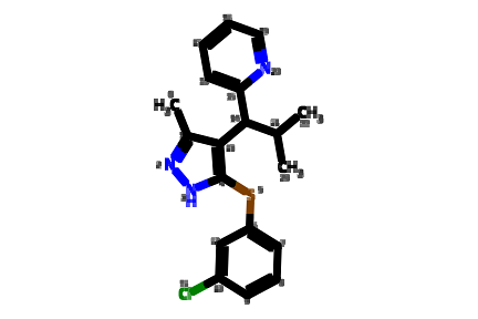 Cc1n[nH]c(Sc2cccc(Cl)c2)c1C(c1ccccn1)C(C)C